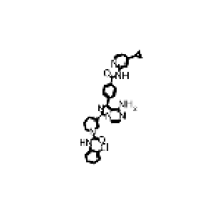 Nc1nccn2c([C@@H]3CCCN(C(=O)Nc4ccccc4Cl)C3)nc(-c3ccc(C(=O)Nc4cc(C5CC5)ccn4)cc3)c12